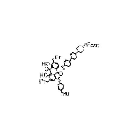 CCCCCC1CCC(c2ccc(-c3ccc(Sc4cc(CC(C)C)c(O)c5c4C(=O)c4c(Sc6ccc(C(C)(C)C)cc6)cc(CC(C)C)c(O)c4C5=O)cc3)cc2)CC1